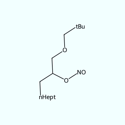 CCCCCCCCC(COCC(C)(C)C)ON=O